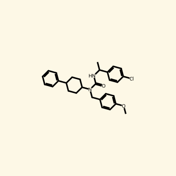 COc1ccc(CN(C(=O)NC(C)c2ccc(Cl)cc2)C2CCC(c3ccccc3)CC2)cc1